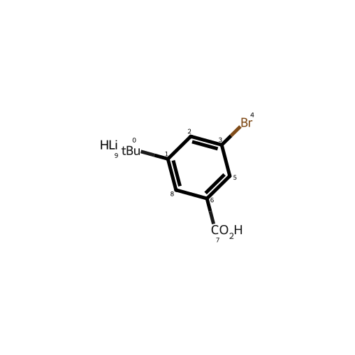 CC(C)(C)c1cc(Br)cc(C(=O)O)c1.[LiH]